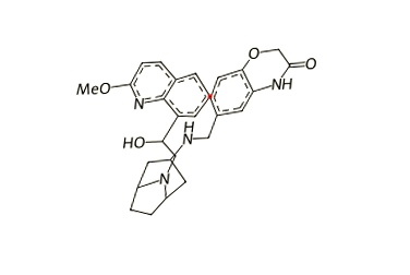 COc1ccc2cccc(C(O)CN3C4CCC3CC(NCc3ccc5c(c3)NC(=O)CO5)C4)c2n1